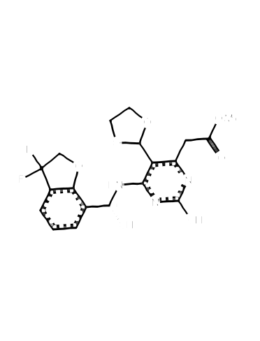 COC(=O)Cc1nc(C)nc(N[C@H](C)c2cccc3c2OCC3(F)F)c1C1OCCO1